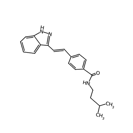 CC(C)CCNC(=O)c1ccc(C=Cc2n[nH]c3ccccc23)cc1